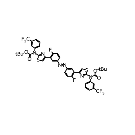 CC(C)(C)OC(=O)N(c1cccc(C(F)(F)F)c1)c1nc(-c2cc(/N=N/c3ccc(F)c(-c4csc(N(C(=O)OC(C)(C)C)c5cccc(C(F)(F)F)c5)n4)c3)ccc2F)cs1